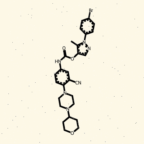 Cc1c(OC(=O)Nc2ccc(N3CCN(C4CCOCC4)CC3)c(C#N)c2)cnn1-c1ccc(Br)cc1